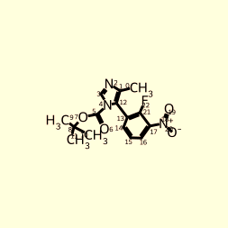 Cc1ncn(C(=O)OC(C)(C)C)c1-c1cccc([N+](=O)[O-])c1F